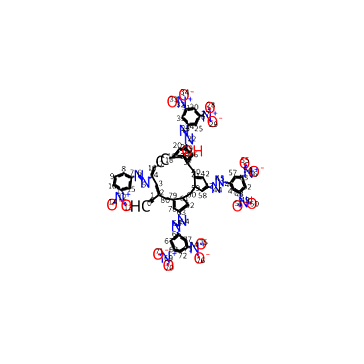 C#C\C1=C/C(/N=N/c2cccc([N+](=O)[O-])c2)=C\CCc2cc(/N=N/c3cc([N+](=O)[O-])cc([N+](=O)[O-])c3)cc(c2O)CC2=CC(/N=N/c3cc([N+](=O)[O-])cc([N+](=O)[O-])c3)=CC2CC2C=C(/N=N/c3cc([N+](=O)[O-])cc([N+](=O)[O-])c3)C=C2C1